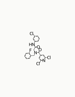 O=C(CN(Cc1ccccc1F)C(=O)c1cc(Cl)nc(Cl)c1)Nc1cccc(Cl)c1